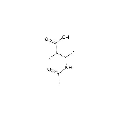 CC(=O)NC(C)C(C)C(=O)O